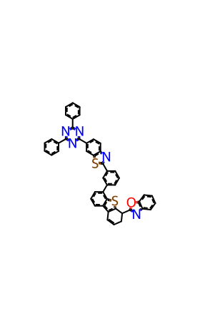 C1=Cc2c(sc3c(-c4cccc(-c5nc6ccc(-c7nc(-c8ccccc8)nc(-c8ccccc8)n7)cc6s5)c4)cccc23)C(c2nc3ccccc3o2)C1